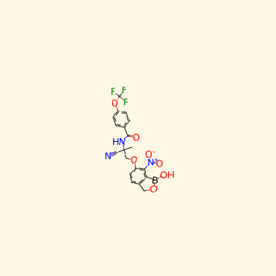 CC(C#N)(COc1ccc2c(c1[N+](=O)[O-])B(O)OC2)NC(=O)c1ccc(OC(F)(F)F)cc1